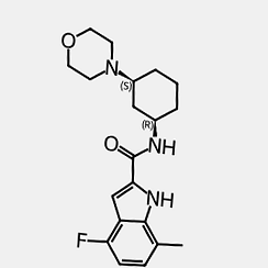 Cc1ccc(F)c2cc(C(=O)N[C@@H]3CCC[C@H](N4CCOCC4)C3)[nH]c12